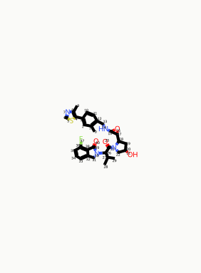 Cc1cc(-c2scnc2C)ccc1CNC1OC1C1CC(O)CN1C(=O)C(C(C)C)N1Cc2cccc(F)c2C1=O